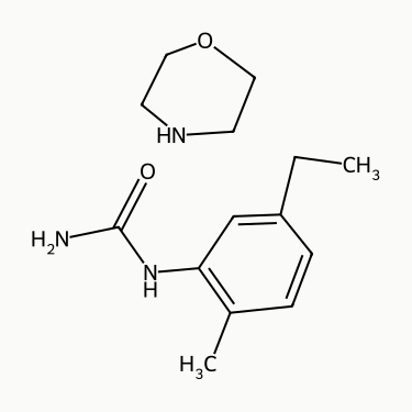 C1COCCN1.CCc1ccc(C)c(NC(N)=O)c1